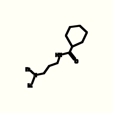 CCN(CC)CCCNC(=O)C1CCCCC1